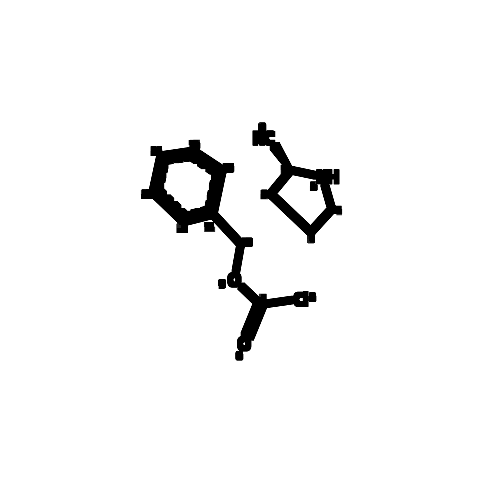 N#C[C@@H]1CCCN1.O=C(Cl)OCc1ccccc1